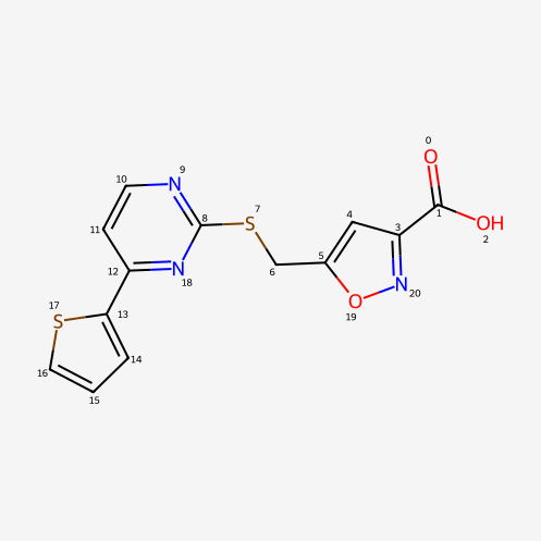 O=C(O)c1cc(CSc2nccc(-c3cccs3)n2)on1